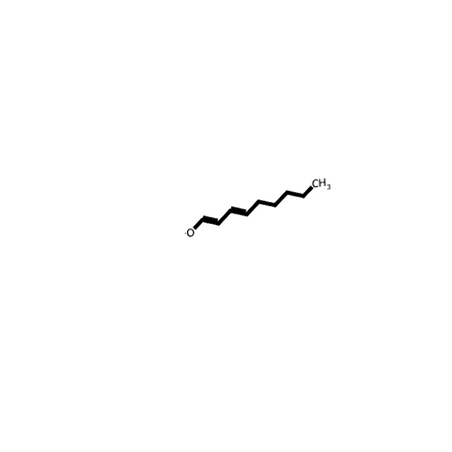 CCCCCC=CC=C[O]